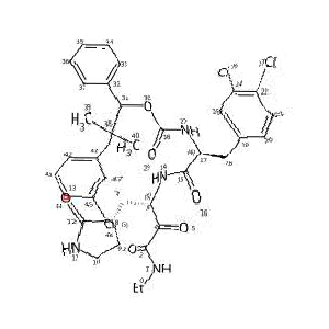 CCNC(=O)C(=O)[C@H](C[C@@H]1CCNC1=O)NC(=O)[C@H](Cc1ccc(Cl)c(Cl)c1)NC(=O)OC(c1ccccc1)C(C)(C)c1cccc(Cl)c1